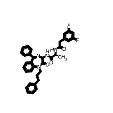 C[C@H](NC(=O)Cc1cc(F)cc(F)c1)C(=O)NC1N=C(c2ccccc2)c2ccccc2N(CCCc2ccccc2)C1=O